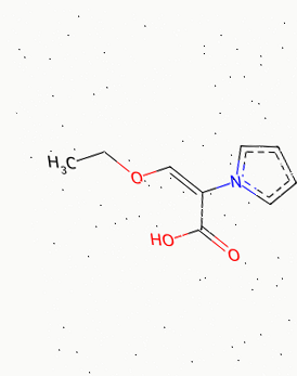 CCOC=C(C(=O)O)n1cccc1